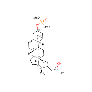 COP(=O)(OC)O[C@H]1CC[C@@]2(C)C(=CC[C@H]3[C@@H]4CC[C@H]([C@H](C)CC[C@H](O)C(C)C)[C@@]4(C)CC[C@@H]32)C1